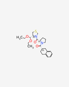 CCOC(OCC)[C@@H]1CSCN1C(=O)[C@@H]1CCCN1C(=O)[C@H]1CCc2ccccc2C1